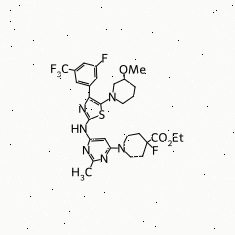 CCOC(=O)C1(F)CCN(c2cc(Nc3nc(-c4cc(F)cc(C(F)(F)F)c4)c(N4CCC[C@H](OC)C4)s3)nc(C)n2)CC1